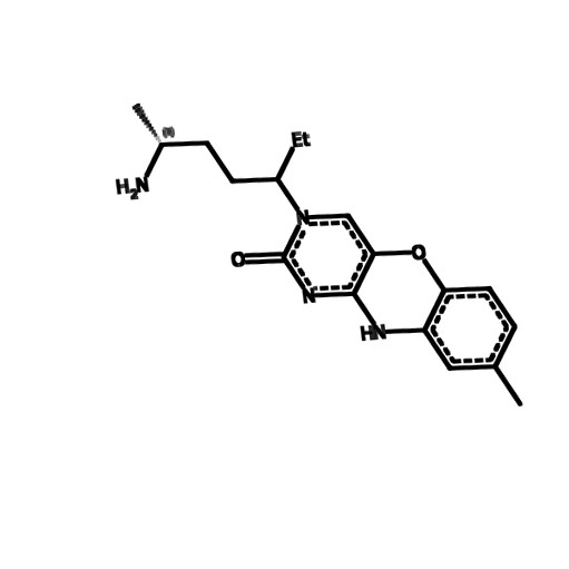 CCC(CC[C@@H](C)N)n1cc2c(nc1=O)Nc1cc(C)ccc1O2